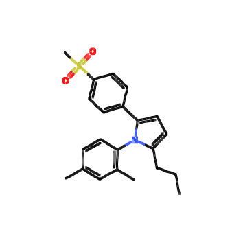 CCCc1ccc(-c2ccc(S(C)(=O)=O)cc2)n1-c1ccc(C)cc1C